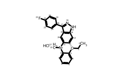 CCOc1ccccc1N(C)c1ccc2[nH]nc(-c3ccc(F)cc3)c2c1.Cl